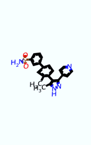 Cc1cc(-c2cccc(S(N)(=O)=O)c2)ccc1-c1c(-c2ccncc2)n[nH]c1C